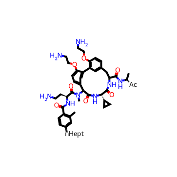 CCCCCCCc1ccc(C(=O)N[C@@H](CCN)C(=O)N(C)C2C(=O)N[C@@H](C3CC3)C(=O)NC(C(=O)N[C@@H](C)C(C)=O)Cc3ccc(OCCN)c(c3)-c3cc2ccc3OCCN)c(C)c1